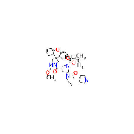 COCCCCC1(CNC(=O)[C@H]2C[C@@H](N(CC3CC3)C(=O)Cc3ccncc3)CN(C(=O)OC(C)(C)C)C2)c2ccccc2Oc2ccccc21